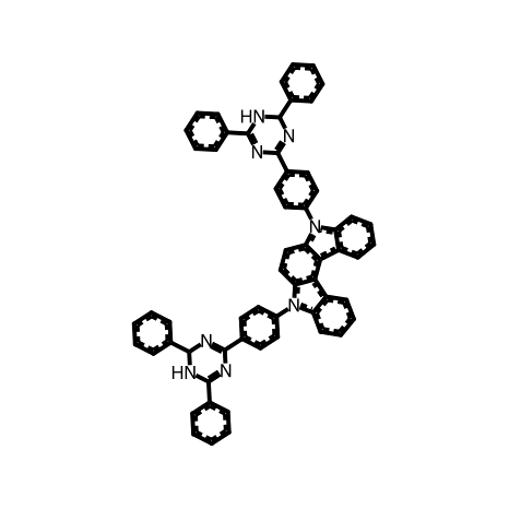 c1ccc(C2=NC(c3ccc(-n4c5ccccc5c5c6c7ccccc7n(-c7ccc(C8=NC(c9ccccc9)NC(c9ccccc9)=N8)cc7)c6ccc54)cc3)=NC(c3ccccc3)N2)cc1